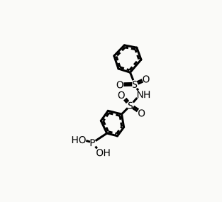 O=S(=O)(NS(=O)(=O)c1ccc(P(O)O)cc1)c1ccccc1